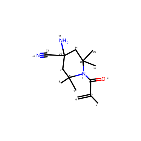 C=C(C)C(=O)N1C(C)(C)CC(N)(C#N)CC1(C)C